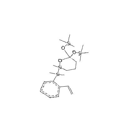 C=Cc1ccccc1[Si](C)(C)[Si]1(C)CCCC(O[Si](C)(C)C)(O[Si](C)(C)C)O1